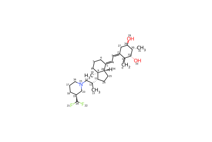 C=C1/C(=C\C=C2/CCC[C@]3(C)[C@@H](C(C)CN4CCC[C@H](C(F)F)C4)CC[C@@H]23)C[C@@H](O)[C@H](C)[C@@H]1O